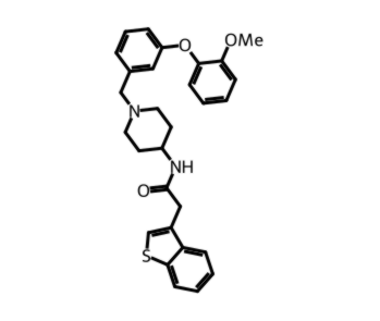 COc1ccccc1Oc1cccc(CN2CCC(NC(=O)Cc3csc4ccccc34)CC2)c1